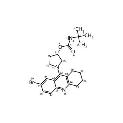 CC(C)(C)NC(=O)O[C@H]1CCN(c2c3c(nc4ccc(Br)cc24)CCCC3)C1